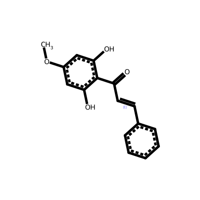 COc1cc(O)c(C(=O)/C=C/c2ccccc2)c(O)c1